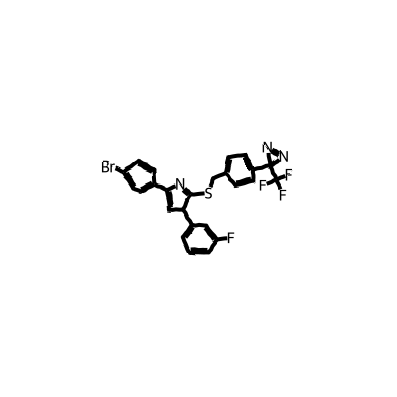 Fc1cccc(C2C=C(c3ccc(Br)cc3)N=C2SCc2ccc(C3(C(F)(F)F)N=N3)cc2)c1